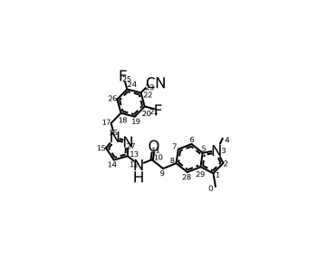 Cc1cn(C)c2ccc(CC(=O)Nc3ccn(Cc4cc(F)c(C#N)c(F)c4)n3)cc12